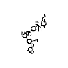 CCCN1CCC(C)C(NC(=O)c2ccc(-c3cc4nccc(-c5ccc(OC6CCCOC6)c(C#N)c5)c4o3)cc2)C1